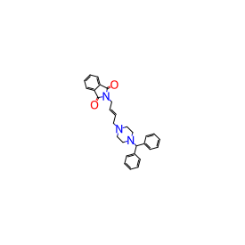 O=C1c2ccccc2C(=O)N1CC=CCN1CCN(C(c2ccccc2)c2ccccc2)CC1